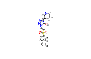 Cc1ccc(S(=O)(=O)C=Cn2nnn(-c3cccnc3)c2=O)cc1